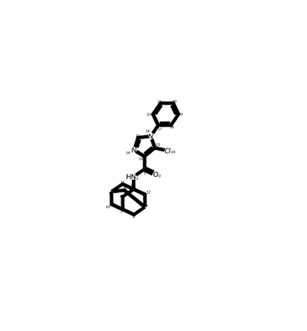 O=C(NC12CC3CC(CC(C3)C1)C2)c1ncn(-c2ccccc2)c1Cl